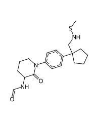 CSNCC1(c2ccc(N3CCCC(NC=O)C3=O)cc2)CCCC1